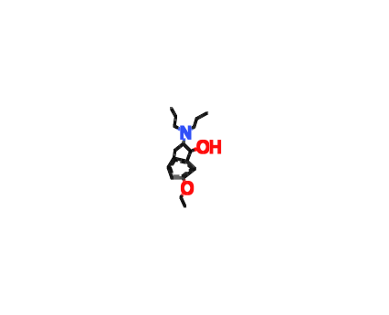 CCCN(CCC)C1Cc2ccc(OCC)cc2[C@@H]1O